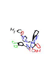 COCN1CCN(CC[N+]23CN(C(=O)NCc4ccc(Cl)c(Cl)c4)C(O)C(=O)C2=Nc2ccccc23)CC1